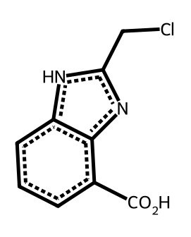 O=C(O)c1cccc2[nH]c(CCl)nc12